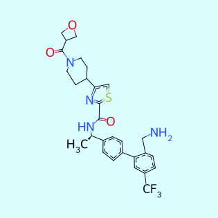 C[C@@H](NC(=O)c1nc(C2CCN(C(=O)C3COC3)CC2)cs1)c1ccc(-c2cc(C(F)(F)F)ccc2CN)cc1